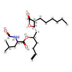 C=CCCC(C[C@@H]1OC(=O)[C@H]1CCCCCC)OC(=O)C(CC(C)C)NC=O